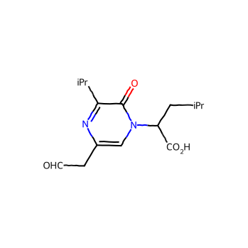 CC(C)CC(C(=O)O)n1cc(CC=O)nc(C(C)C)c1=O